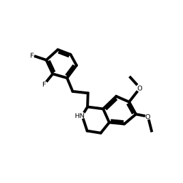 COc1cc2c(cc1OC)C(CCc1cccc(F)c1F)NCC2